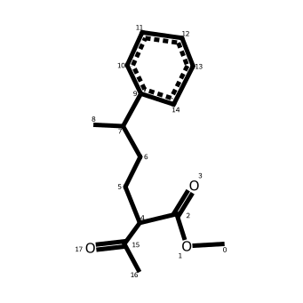 COC(=O)C(CCC(C)c1ccccc1)C(C)=O